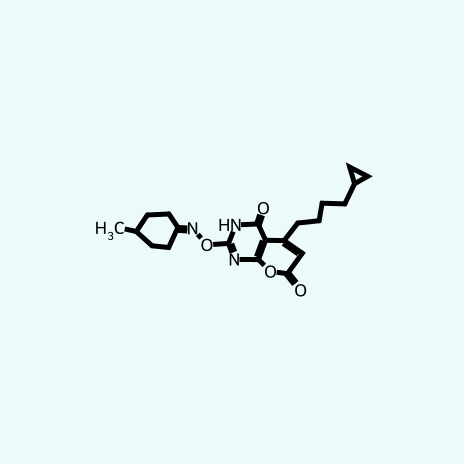 CC1CCC(=NOc2nc3oc(=O)cc(CCCCC4CC4)c3c(=O)[nH]2)CC1